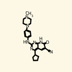 CN1CCN(c2ccc(Nc3nc(C4CCCC4)c4cc(C#N)c(=O)[nH]c4n3)cc2)CC1